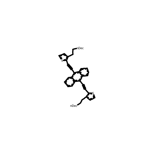 CCCCCCCCCCCCc1ccsc1C#Cc1c2ccccc2c(C#Cc2sccc2CCCCCCCCCCCC)c2ccccc12